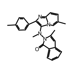 Cc1ccc(-c2nc3ccc(C)cn3c2N(C)n2c(C)cc3ccccc3c2=O)cc1